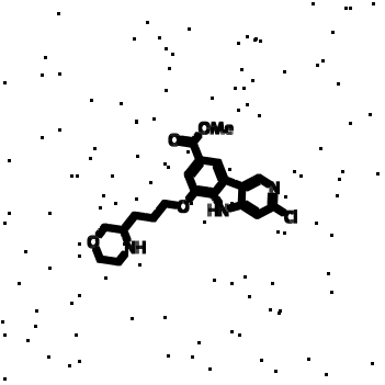 COC(=O)c1cc(OCCCC2COCCN2)c2[nH]c3cc(Cl)ncc3c2c1